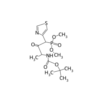 COP(=O)(OC)C(C(=O)C(C)NC(=O)OC(C)(C)C)c1cscn1